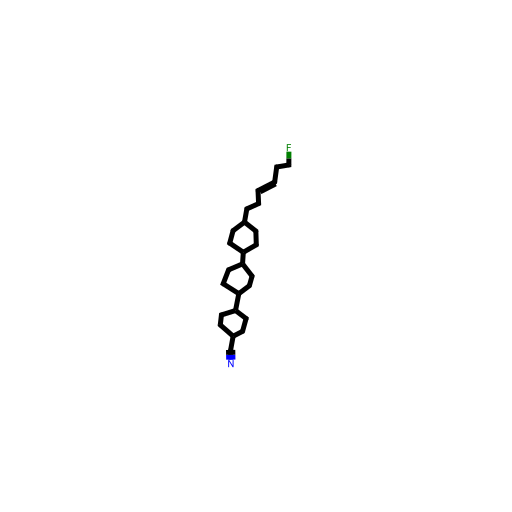 N#CC1CCC(C2CCC(C3CCC(CCC=CCCF)CC3)CC2)CC1